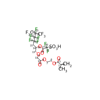 C=C(C)C(=O)OCCOC(=O)COCC(CC(F)(F)C(F)(F)C(F)(C(F)(F)F)C(F)(F)F)OC(=O)C(F)(F)S(=O)(=O)O